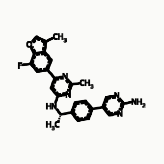 Cc1nc(N[C@@H](C)c2ccc(-c3cnc(N)nc3)cc2)cc(-c2cc(F)c3occ(C)c3c2)n1